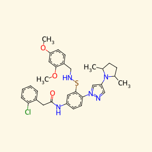 COc1ccc(CNSc2cc(NC(=O)Cc3ccccc3Cl)ccc2-n2cc(N3C(C)CCC3C)cn2)c(OC)c1